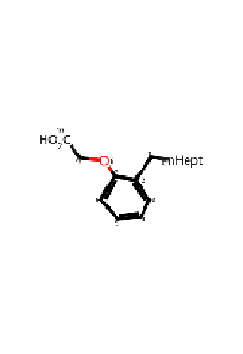 CCCCCCCCc1ccccc1OCC(=O)O